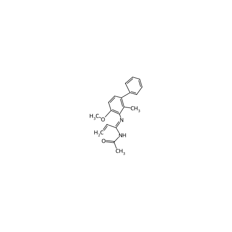 C=C/C(=N\c1c(OC)ccc(-c2ccccc2)c1C)NC(C)=O